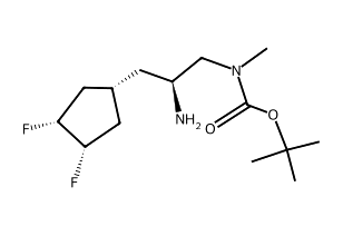 CN(C[C@@H](N)C[C@H]1C[C@@H](F)[C@@H](F)C1)C(=O)OC(C)(C)C